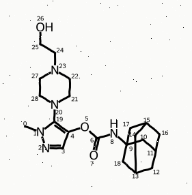 Cn1ncc(OC(=O)NC23CC4CC(CC(C4)C2)C3)c1N1CCN(CCO)CC1